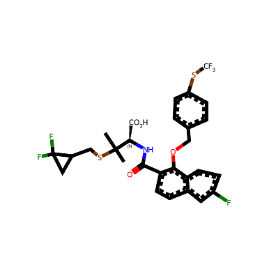 CC(C)(SCC1CC1(F)F)[C@H](NC(=O)c1ccc2cc(F)ccc2c1OCc1ccc(SC(F)(F)F)cc1)C(=O)O